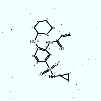 C=CC(=O)Nc1cc(S(=O)(=O)NC2CC2)ccc1NC1CCCCC1